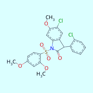 COc1ccc(S(=O)(=O)N2C(=O)C(c3ccccc3Cl)c3cc(Cl)c(OC)cc32)c(OC)c1